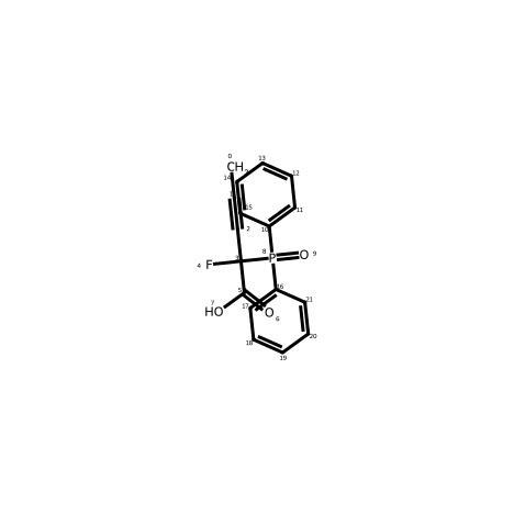 CC#CC(F)(C(=O)O)P(=O)(c1ccccc1)c1ccccc1